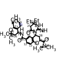 C#CC1=C(/C=C\C)[C@@H](NC(=O)c2ccc3c(c2)C(N2C(=N)NC(CC)(CC)CC2=O)CC(C(=O)N(C)C)O3)CC(C)(C)O1